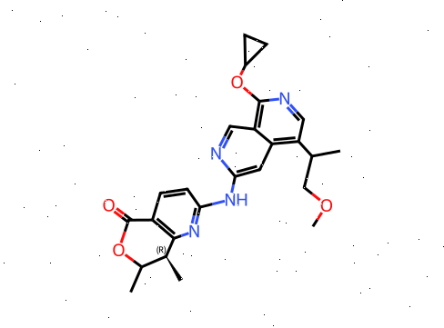 COCC(C)c1cnc(OC2CC2)c2cnc(Nc3ccc4c(n3)[C@@H](C)C(C)OC4=O)cc12